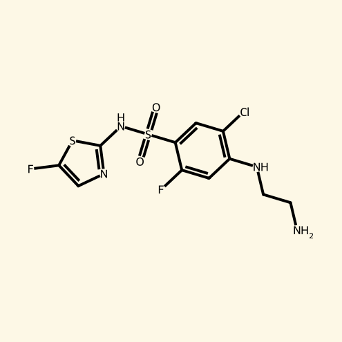 NCCNc1cc(F)c(S(=O)(=O)Nc2ncc(F)s2)cc1Cl